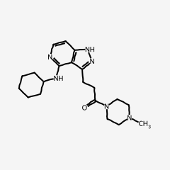 CN1CCN(C(=O)CCc2n[nH]c3ccnc(NC4CCCCC4)c23)CC1